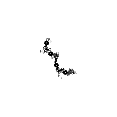 CCOP(=O)(CS(=O)(=O)c1ccc(NC(=O)c2nc(-c3ccc(CCCOP(=O)(CS(=O)(=O)c4ccc(NC(=O)c5nc(-c6ccc(C(F)(F)F)cc6)cnc5N)cc4)OCC)cc3)cnc2N)c(F)c1)OCC